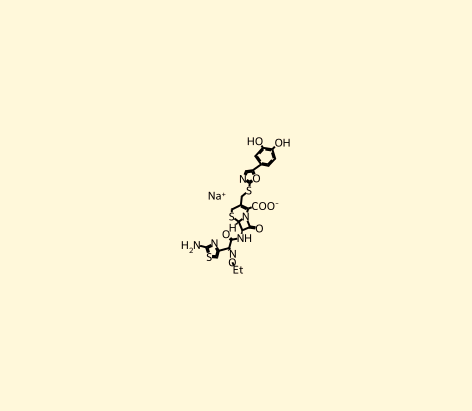 CCON=C(C(=O)N[C@@H]1C(=O)N2C(C(=O)[O-])=C(CSc3ncc(-c4ccc(O)c(O)c4)o3)CS[C@@H]12)c1csc(N)n1.[Na+]